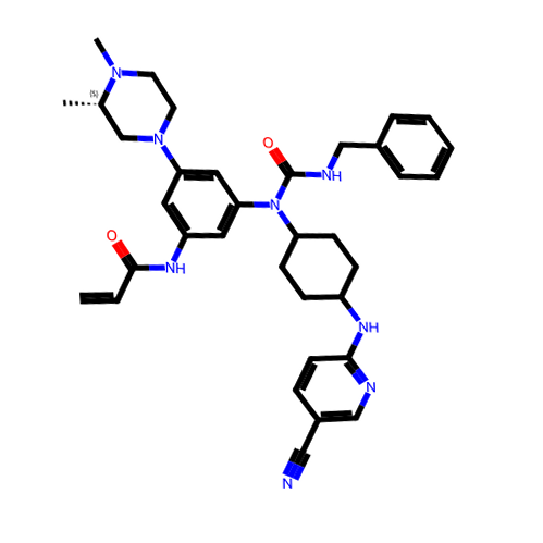 C=CC(=O)Nc1cc(N2CCN(C)[C@@H](C)C2)cc(N(C(=O)NCc2ccccc2)C2CCC(Nc3ccc(C#N)cn3)CC2)c1